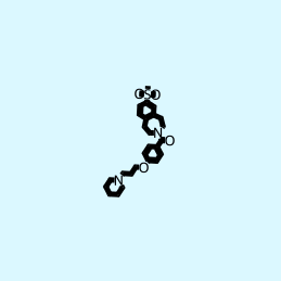 CS(=O)(=O)c1ccc2c(c1)CCN(C(=O)c1ccc(OCCCN3CCCCC3)cc1)CC2